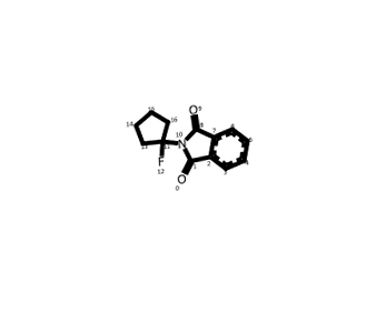 O=C1c2ccccc2C(=O)N1C1(F)CCCC1